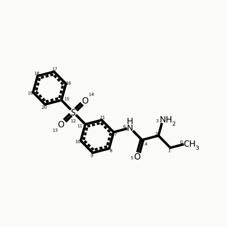 CCC(N)C(=O)Nc1cccc(S(=O)(=O)c2ccccc2)c1